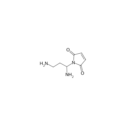 NCCC(N)N1C(=O)C=CC1=O